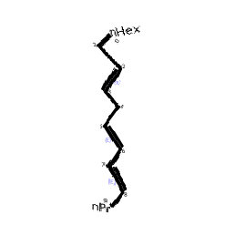 [CH2]CCCCCC/C=C/C/C=C/C=C/CCC